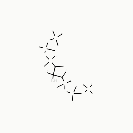 CCC(C(N)(CC)C(CC)[Si](C)(C)O[Si](C)(C)O[Si](C)(C)C)[Si](C)(C)O[Si](C)(C)O[Si](C)(C)C